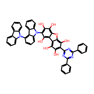 Oc1c(-n2c3ccccc3c3c(-n4c5ccccc5c5ccccc54)cccc32)c(O)c2c(oc3c(O)c(-c4nc(-c5ccccc5)nc(-c5ccccc5)n4)c(O)c(O)c32)c1O